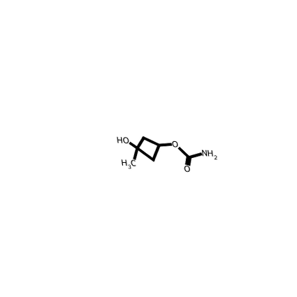 CC1(O)CC(OC(N)=O)C1